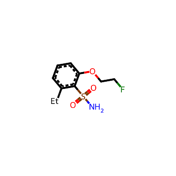 CCc1cccc(OCCF)c1S(N)(=O)=O